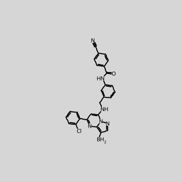 Bc1cnn2c(NCc3cccc(NC(=O)c4ccc(C#N)cc4)c3)cc(-c3ccccc3Cl)nc12